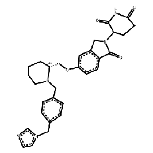 O=C1CCC(N2Cc3cc(OC[C@H]4CCCCN4Cc4ccc(Cn5ccnc5)cc4)ccc3C2=O)C(=O)N1